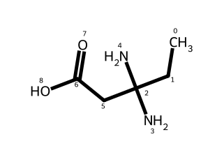 CCC(N)(N)CC(=O)O